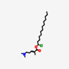 CCCCCCCCCCCCCC(Cl)OC(=O)C(C)=CCCN(C)C